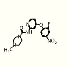 CN1CCN(C(=O)Nc2cc(Oc3ccc([N+](=O)[O-])cc3F)ccn2)CC1